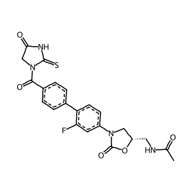 CC(=O)NC[C@H]1CN(c2ccc(-c3ccc(C(=O)N4CC(=O)NC4=S)cc3)c(F)c2)C(=O)O1